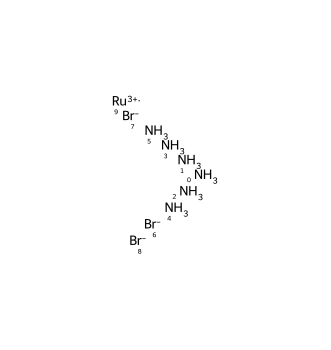 N.N.N.N.N.N.[Br-].[Br-].[Br-].[Ru+3]